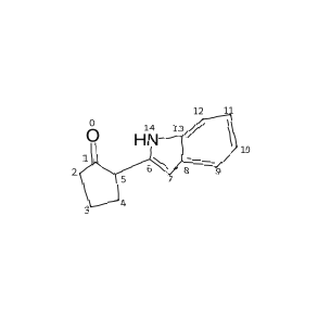 O=C1CCCC1c1cc2ccccc2[nH]1